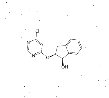 O[C@@H]1c2ccccc2C[C@@H]1Oc1cc(Cl)ncn1